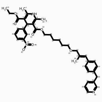 CCOC(=O)C1=C(C)NC(C)=C(C(=O)OCCCCCCOC/C(C)=C/c2ccc(Cc3cccnc3)cc2)C1c1cccc([N+](=O)[O-])c1